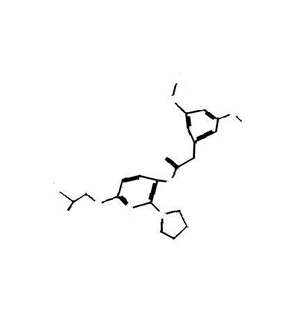 COc1cc(CC(=O)Nc2ccc(SCC(C)C)nc2N2CCCC2)cc(OC)c1